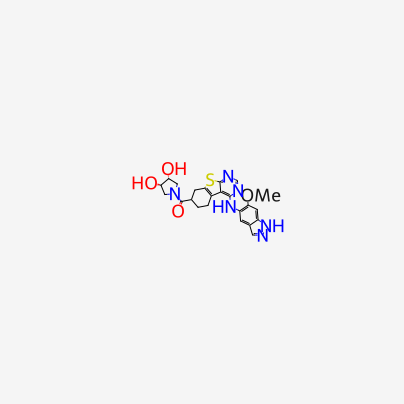 COc1cc2[nH]ncc2cc1Nc1ncnc2sc3c(c12)CCC(C(=O)N1C[C@@H](O)[C@H](O)C1)C3